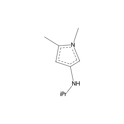 Cc1cc(NC(C)C)cn1C